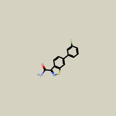 NC(=O)c1nsc2cc(-c3cccc(F)c3)ccc12